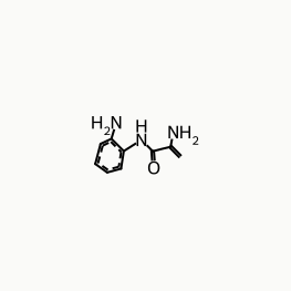 C=C(N)C(=O)Nc1ccccc1N